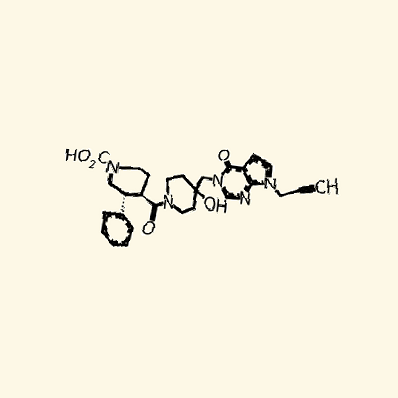 C#CCn1ccc2c(=O)n(CC3(O)CCN(C(=O)[C@@H]4CCN(C(=O)O)C[C@H]4c4ccccc4)CC3)cnc21